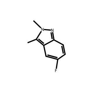 Cc1c2cc(F)ccc2nn1C